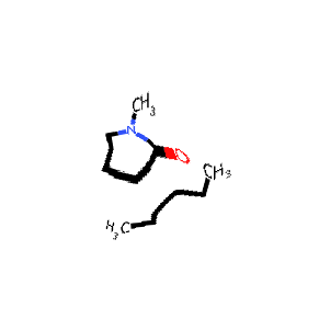 CCCCC.CN1CCCC1=O